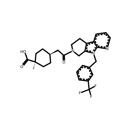 C[C@]1(C(=O)O)CC[C@@H](CC(=O)N2CCc3c(n(Cc4cccc(C(F)(F)F)c4)c4ncccc34)C2)CC1